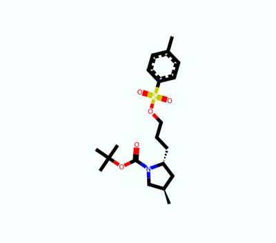 Cc1ccc(S(=O)(=O)OCCC[C@@H]2C[C@@H](C)CN2C(=O)OC(C)(C)C)cc1